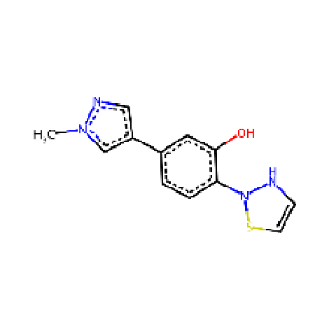 Cn1cc(-c2ccc(N3NC=CS3)c(O)c2)cn1